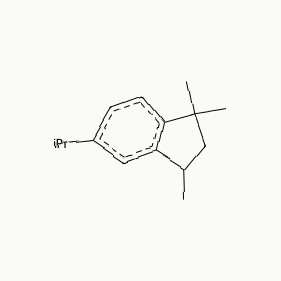 CC(C)c1ccc2c(c1)C(C)CC2(C)C